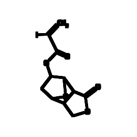 C=C(I)C(=O)OC1CC2OC1C1C(=O)OCC21